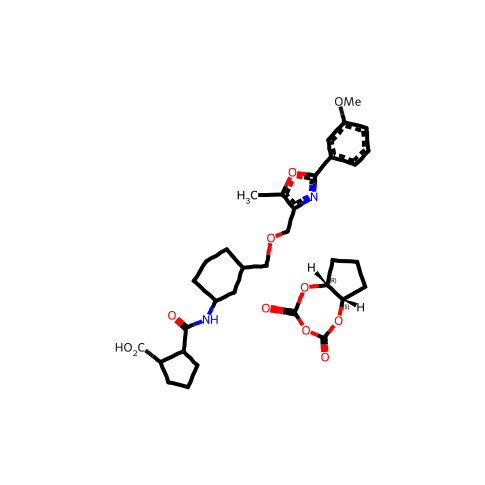 COc1cccc(-c2nc(COCC3CCCC(NC(=O)C4CCCC4C(=O)O)C3)c(C)o2)c1.O=C1OC(=O)O[C@@H]2CCC[C@@H]2O1